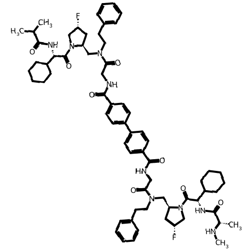 CN[C@@H](C)C(=O)N[C@H](C(=O)N1C[C@H](F)C[C@H]1CN(CCc1ccccc1)C(=O)CNC(=O)c1ccc(-c2ccc(C(=O)NCC(=O)N(CCc3ccccc3)C[C@@H]3C[C@@H](F)CN3C(=O)[C@@H](NC(=O)C(C)C)C3CCCCC3)cc2)cc1)C1CCCCC1